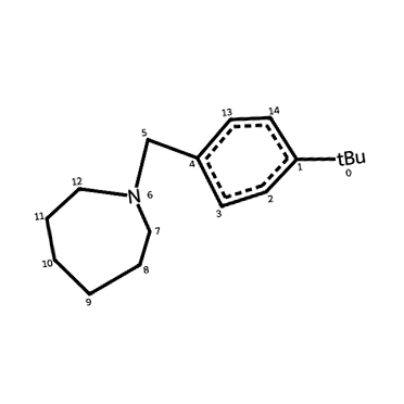 CC(C)(C)c1ccc(CN2CCCCCC2)cc1